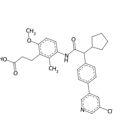 COc1ccc(NC(=O)C(c2ccc(-c3cncc(Cl)c3)cc2)C2CCCC2)c(C)c1CCC(=O)O